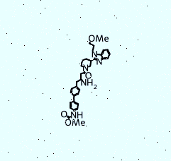 COCCCn1c([C@@H]2CCCN(C(=O)C[C@H](N)Cc3ccc(-c4ccc(NC(=O)OC)cc4)cc3)C2)nc2ccccc21